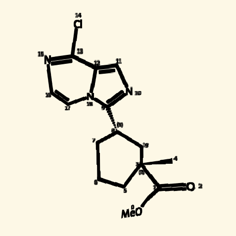 COC(=O)[C@]1(C)CCC[C@H](c2ncc3c(Cl)nccn23)C1